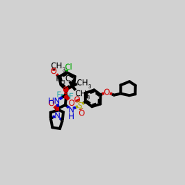 COc1cc(C(F)(F)C(NS(=O)(=O)c2ccc(OCC3CCCCC3)cc2)C(=O)N2C3CCC2CC(NC(=O)OC(C)(C)C)C3)ccc1Cl